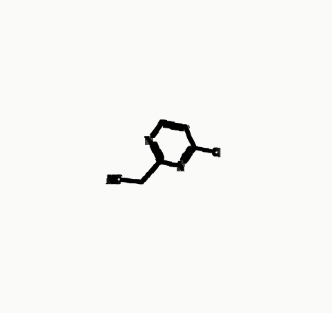 N#CCc1nc[c]c(Cl)n1